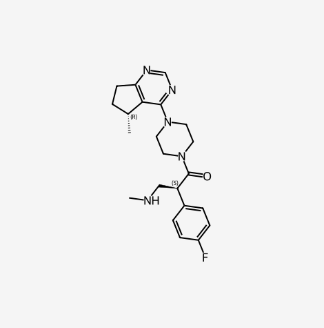 CNC[C@@H](C(=O)N1CCN(c2ncnc3c2[C@H](C)CC3)CC1)c1ccc(F)cc1